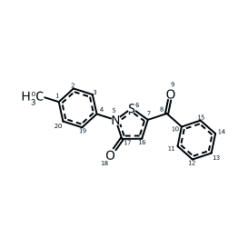 Cc1ccc(-n2sc(C(=O)c3ccccc3)cc2=O)cc1